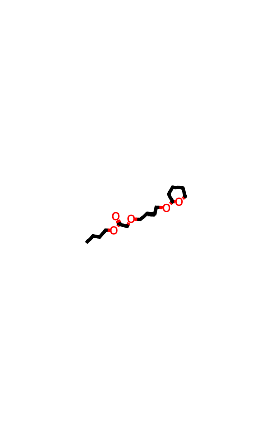 CCCCOC(=O)COC/C=C/COC1CCCCO1